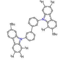 [2H]c1cc2c3ccc(C(C)(C)C)c([2H])c3n(-c3cccc(-c4cccc(-n5c6cc(C(C)(C)C)ccc6c6cc([2H])c([2H])c([2H])c65)c4)c3)c2cc1[2H]